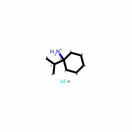 CC(C)C1(N)CCCCC1.F